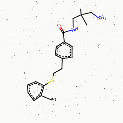 CC(C)c1ccccc1SCCc1ccc(C(=O)NCC(C)(C)CN)cc1